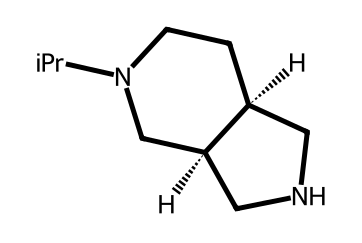 CC(C)N1CC[C@H]2CNC[C@H]2C1